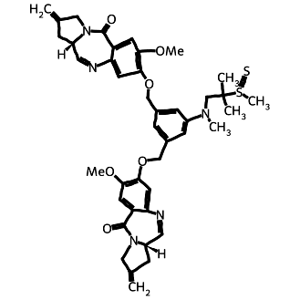 C=C1C[C@H]2C=Nc3cc(OCc4cc(COc5cc6c(cc5OC)C(=O)N5CC(=C)C[C@H]5C=N6)cc(N(C)CC(C)(C)S(C)=S)c4)c(OC)cc3C(=O)N2C1